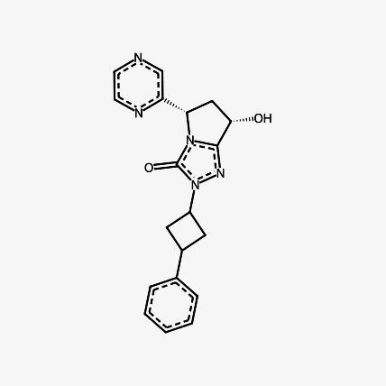 O=c1n(C2CC(c3ccccc3)C2)nc2n1[C@H](c1cnccn1)C[C@@H]2O